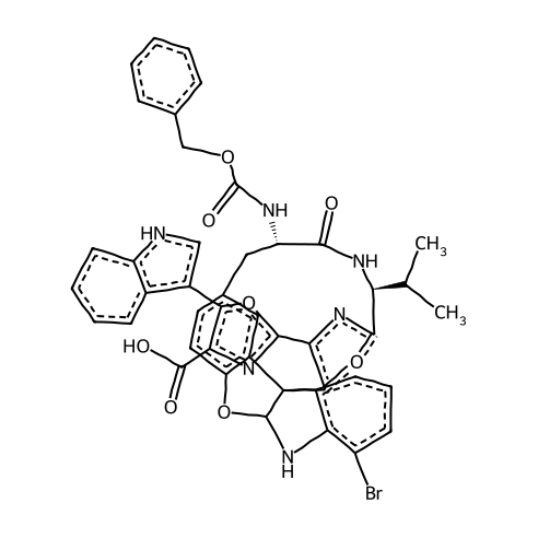 CC(C)[C@@H]1NC(=O)[C@@H](NC(=O)OCc2ccccc2)Cc2ccc3c(c2)C2(c4cccc(Br)c4NC2O3)c2oc1nc2-c1nc(C(=O)O)c(-c2c[nH]c3ccccc23)o1